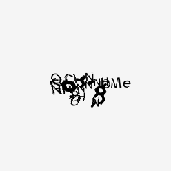 COc1cc2c(cc1Nc1ncc(Cl)c(Nc3ccc(S(C)(=N)=O)cc3P(C)(C)=O)n1)CN(C)CC2